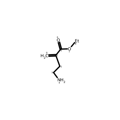 C=C(CCN)C(=O)OCC